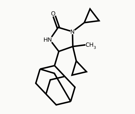 CC1(C2CC2)C(C2C3CC4CC(C3)CC2C4)NC(=O)N1C1CC1